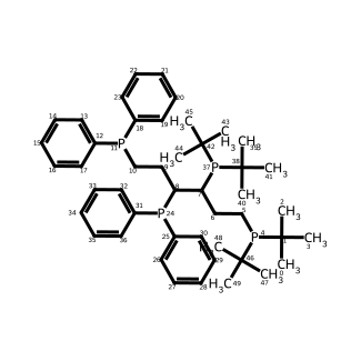 CC(C)(C)P(CCC(C(CCP(c1ccccc1)c1ccccc1)P(c1ccccc1)c1ccccc1)P(C(C)(C)C)C(C)(C)C)C(C)(C)C